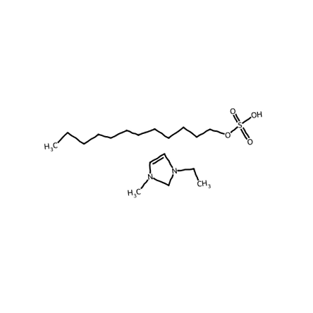 CCCCCCCCCCCCOS(=O)(=O)O.CCN1C=CN(C)C1